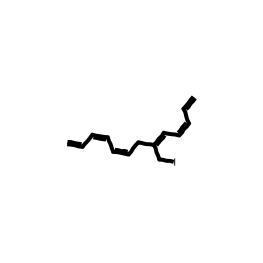 C=C/C=C\C=C/C/C(=C/C=C\C=C)CI